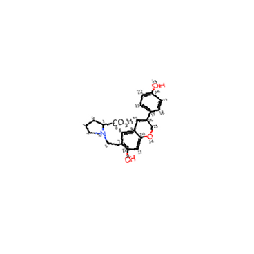 O=C(O)C1CCCN1Cc1cc2c(cc1O)OCC(c1ccc(O)cc1)=C2